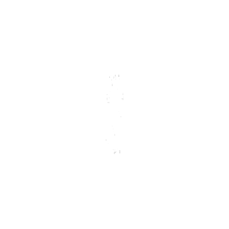 Cc1cc(CCCS(C)(C)C(C)C)ccc1O